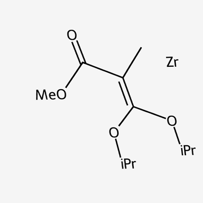 COC(=O)C(C)=C(OC(C)C)OC(C)C.[Zr]